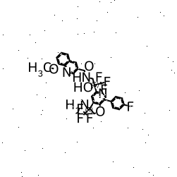 COc1cccc2cc(C(=O)NC[C@](O)(c3cc4c(c(-c5ccc(F)cc5)n3)OC[C@@]4(N)C(F)(F)F)C(F)(F)F)cnc12